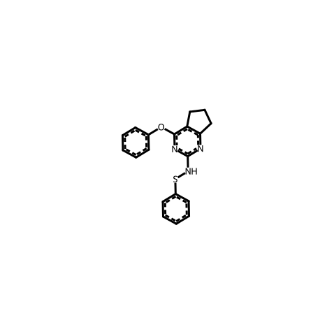 c1ccc(Oc2nc(NSc3ccccc3)nc3c2CCC3)cc1